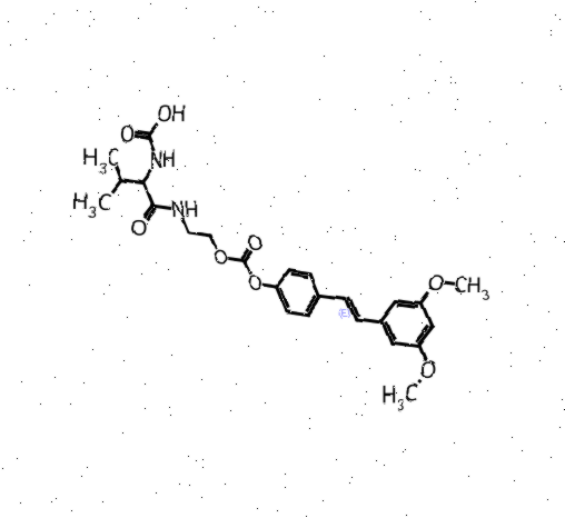 COc1cc(/C=C/c2ccc(OC(=O)OCCNC(=O)C(NC(=O)O)C(C)C)cc2)cc(OC)c1